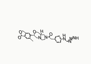 Cc1cc2c(cc1[C@@H]1CN3CCN(C(=O)Cc4ccc(N/C=N\N=N)cc4)C[C@H]3CO1)COC2=O